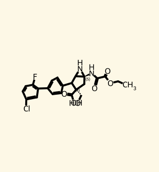 CCOC(=O)C(=O)N[C@@]12C[C@@](CO)(C(=O)O)C(c3ccc(-c4cc(Cl)ccc4F)cc3)C1N2